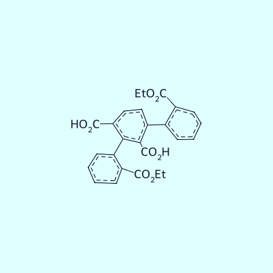 CCOC(=O)c1ccccc1-c1ccc(C(=O)O)c(-c2ccccc2C(=O)OCC)c1C(=O)O